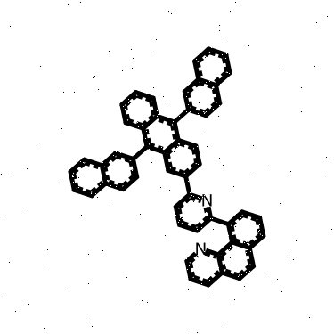 c1cc(-c2ccc3c(-c4ccc5ccccc5c4)c4ccccc4c(-c4ccc5ccccc5c4)c3c2)nc(-c2cccc3ccc4cccnc4c23)c1